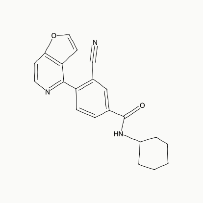 N#Cc1cc(C(=O)NC2CCCCC2)ccc1-c1nccc2occc12